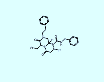 CCN1CC(=O)N2[C@@H](CC(C)C)C(=O)N(CCc3ccccc3)C[C@@H]2N1C(=O)NCc1ccccc1